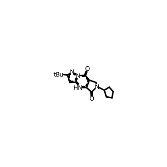 CC(C)(C)c1cc2[nH]c3c(c(=O)n2n1)CN(C1CCCC1)C3=O